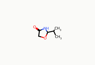 CC(C)C1NC(=O)CO1